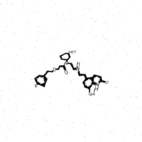 Cl.O=C(CCOCCc1ccc(F)cc1)N(CCNCCc1ccc(O)c2[nH]c(=O)ccc12)C1CCCCC1